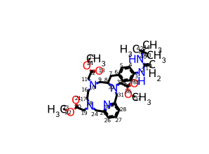 C=C(Nc1ccc(CC2CN(CC(=O)OC)CCN(CC(=O)OC)Cc3cccc(n3)CN2CC(=O)OC)cc1)NC(C)(C)C